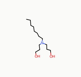 CCCCCCCCN(CCCO)CCCO